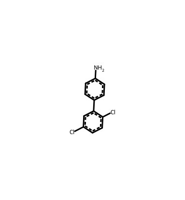 Nc1ccc(-c2cc(Cl)ccc2Cl)cc1